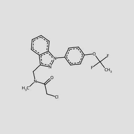 CN(Cc1nn(-c2ccc(OC(C)(F)F)cc2)c2ccccc12)C(=O)CCl